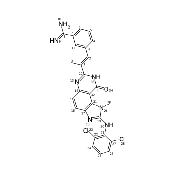 C/C(=C\c1cccc(C(=N)N)c1)c1nc2ccc3nc(Nc4c(Cl)cccc4Cl)n(C)c3c2c(=O)[nH]1